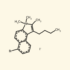 CCCCC1=C(C)[N+](C)(C)c2ccc3c(Br)cccc3c21.[I-]